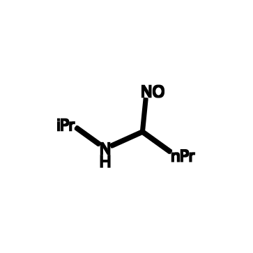 CCCC(N=O)NC(C)C